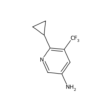 Nc1cnc(C2CC2)c(C(F)(F)F)c1